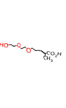 C/C(=C\CCOCCOCCO)C(=O)O